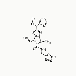 CCOC(c1cscn1)c1nc2c(s1)c(C=N)c(C(=O)NCc1c[nH]nn1)n2C